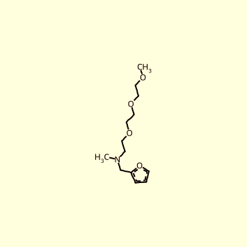 COCCOCCOCCN(C)Cc1ccco1